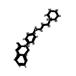 CC1=Cc2ccccc2CN1c1ccc(OCCCN2CCCCC2)cc1